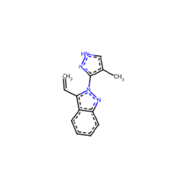 C=Cc1c2ccccc2nn1-c1n[nH]cc1C